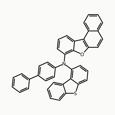 c1ccc(-c2ccc(N(c3cccc4c3oc3ccc5ccccc5c34)c3cccc4sc5ccccc5c34)cc2)cc1